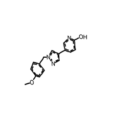 COc1ccc(Cn2cc(-c3ccc(O)nc3)cn2)cc1